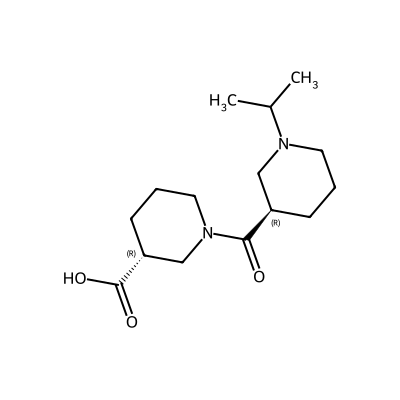 CC(C)N1CCC[C@@H](C(=O)N2CCC[C@@H](C(=O)O)C2)C1